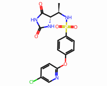 C[C@@H](NS(=O)(=O)c1ccc(Oc2ccc(Cl)cn2)cc1)[C@@H]1NC(=O)NC1=O